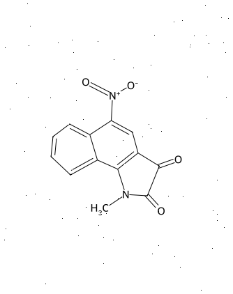 CN1C(=O)C(=O)c2cc([N+](=O)[O-])c3ccccc3c21